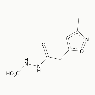 Cc1cc(CC(=O)NNC(=O)O)on1